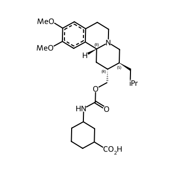 COc1cc2c(cc1OC)[C@H]1C[C@@H](COC(=O)NC3CCCC(C(=O)O)C3)[C@H](CC(C)C)CN1CC2